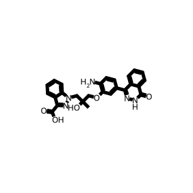 CC(O)(COc1cc(-c2n[nH]c(=O)c3ccccc23)ccc1N)Cn1nc(C(=O)O)c2ccccc21